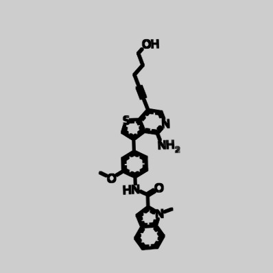 COc1cc(-c2csc3c(C#CCCCO)cnc(N)c23)ccc1NC(=O)c1cc2ccccc2n1C